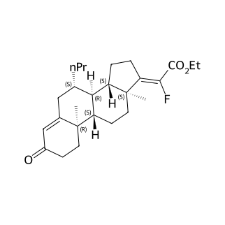 CCC[C@H]1CC2=CC(=O)CC[C@]2(C)[C@H]2CC[C@]3(C)C(=C(F)C(=O)OCC)CC[C@H]3[C@H]12